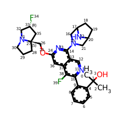 CC(C)(O)c1ccccc1-c1ncc2c(N3CC4CCC(C3)N4)nc(OC[C@@]34CCCN3C[C@H](F)C4)cc2c1F